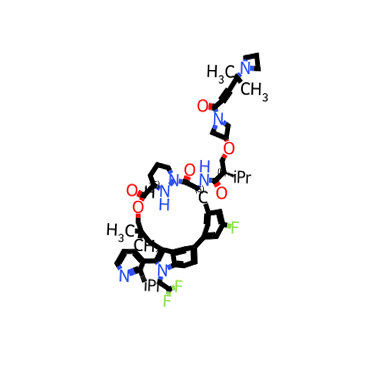 CC(C)c1ncccc1-c1c2c3cc(ccc3n1CC(F)F)-c1cc(F)cc(c1)C[C@H](NC(=O)[C@@H](COC1CN(C(=O)C#CC(C)(C)N3CCC3)C1)C(C)C)C(=O)N1CCC[C@H](N1)C(=O)OCC(C)(C)C2